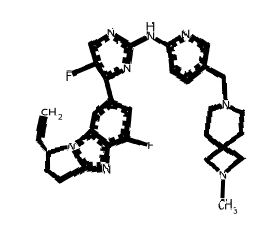 C=C[C@@H]1CCc2nc3c(F)cc(-c4nc(Nc5ccc(CN6CCC7(CC6)CN(C)C7)cn5)ncc4F)cc3n21